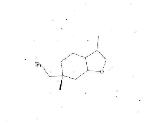 CC(C)C[C@]1(C)CCC2C(C)COC2C1